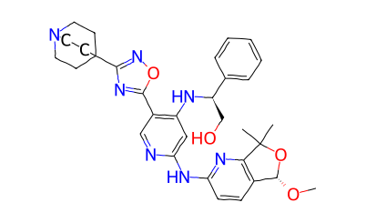 CO[C@H]1OC(C)(C)c2nc(Nc3cc(N[C@H](CO)c4ccccc4)c(-c4nc(C56CCN(CC5)CC6)no4)cn3)ccc21